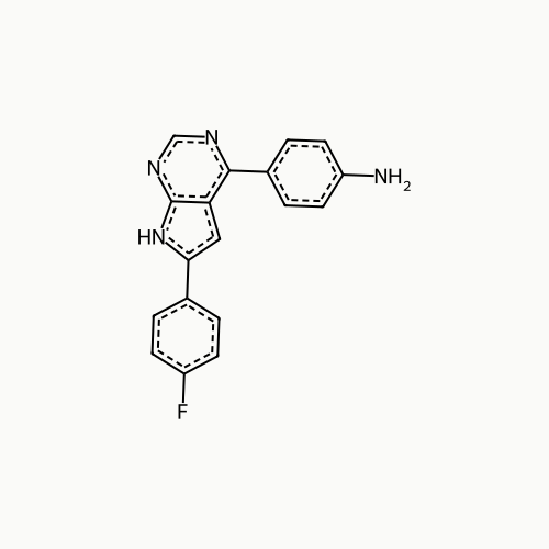 Nc1ccc(-c2ncnc3[nH]c(-c4ccc(F)cc4)cc23)cc1